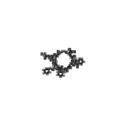 CC(=O)NCC(=O)NC1CC(=O)NCCCCC(C(=O)O)NC(=O)[C@H](Cc2c[nH]c3ccccc23)NC(=O)CNC(=O)C(Cc2ccccc2)NC(=O)[C@@H]2CC(OCc3ccccc3)CN2C1=O